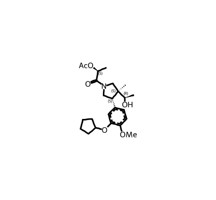 COc1ccc([C@@H]2CN(C(=O)[C@H](C)OC(C)=O)C[C@@]2(C)[C@@H](C)O)cc1OC1CCCC1